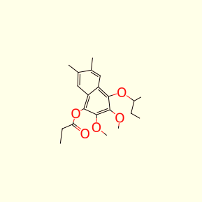 CCC(=O)Oc1c(OC)c(OC)c(OC(C)CC)c2cc(C)c(C)cc12